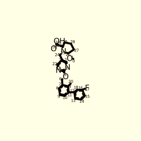 COc1nc(OCc2cccc(-c3cccc(F)c3)c2C)ncc1CN1CCCCC1C(=O)O